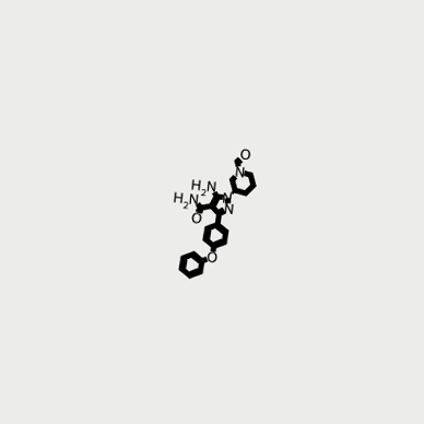 NC(=O)c1c(-c2ccc(Oc3ccccc3)cc2)nn([C@@H]2CCCN(C=O)C2)c1N